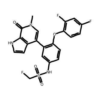 Cn1cc(-c2cc(NS(=O)(=O)CF)ccc2Oc2ccc(F)cc2F)c2cc[nH]c2c1=O